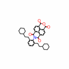 O=C1OC(=O)c2ccc3c4c(ccc1c24)C(=O)N(c1c(CCC2CCCCC2)cccc1CCC1CCCCC1)C3=O